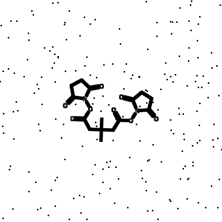 CC(C)(CC(=O)ON1C(=O)CCC1=O)CC(=O)ON1C(=O)CCC1=O